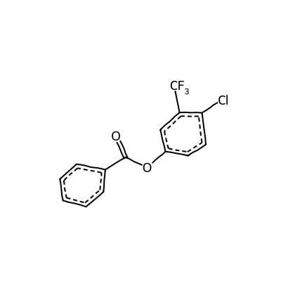 O=C(Oc1ccc(Cl)c(C(F)(F)F)c1)c1ccccc1